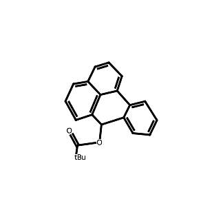 CC(C)(C)C(=O)OC1c2ccccc2-c2cccc3cccc1c23